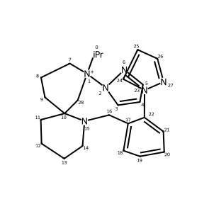 CC(C)[N+]1(n2cccn2)CCCC2(CCCCN2Cc2ccccc2-n2cccn2)C1